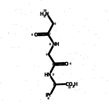 CC(C)C(NC(=O)CNC(=O)CN)C(=O)O